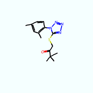 Cc1ccc(-n2nnnc2SCC(=O)C(C)(C)C)c(C)c1